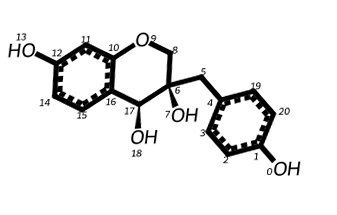 Oc1ccc(C[C@@]2(O)COc3cc(O)ccc3[C@@H]2O)cc1